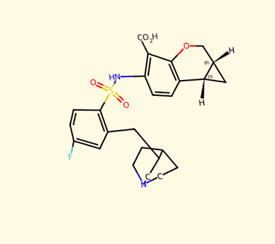 O=C(O)c1c(NS(=O)(=O)c2ccc(F)cc2CC2CN3CCC2CC3)ccc2c1OC[C@@H]1C[C@H]21